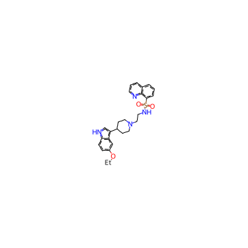 CCOc1ccc2[nH]cc(C3CCN(CCNS(=O)(=O)c4cccc5cccnc45)CC3)c2c1